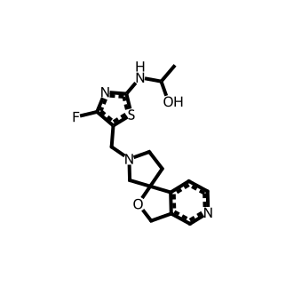 CC(O)Nc1nc(F)c(CN2CCC3(C2)OCc2cnccc23)s1